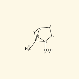 CC1=CC2CCC1(C(=O)O)C2